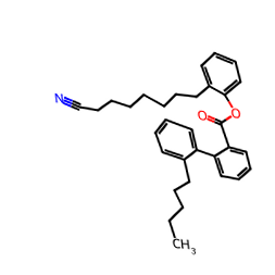 CCCCCc1ccccc1-c1ccccc1C(=O)Oc1ccccc1CCCCCCCC#N